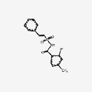 Cc1ccc(C(=O)NS(=O)(=O)C=Cc2ccccc2)c(Br)c1